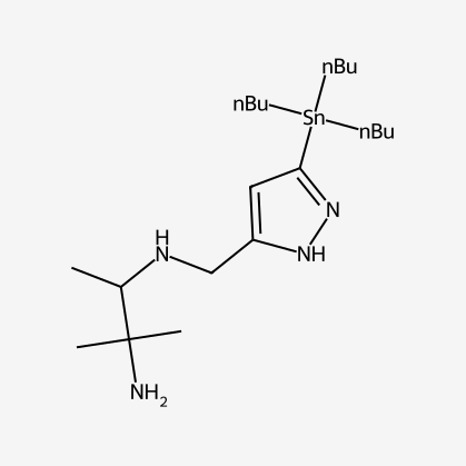 CCC[CH2][Sn]([CH2]CCC)([CH2]CCC)[c]1cc(CNC(C)C(C)(C)N)[nH]n1